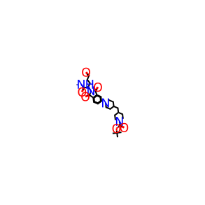 CNC(=O)C(CCC=O)N1C(=O)c2ccc(N3CCC(CC4CCN(C(=O)OC(C)(C)C)CC4)CC3)cc2C1=O